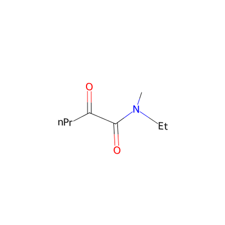 CCCC(=O)C(=O)N(C)CC